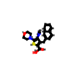 [C-]#[N+]c1c(N2CCOCC2)sc(C(=O)O)c1Cc1ccc2ccccc2c1